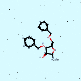 COC1O/C(=C/OCc2ccccc2)[C@@H](OCc2ccccc2)C1=O